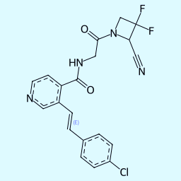 N#CC1N(C(=O)CNC(=O)c2ccncc2/C=C/c2ccc(Cl)cc2)CC1(F)F